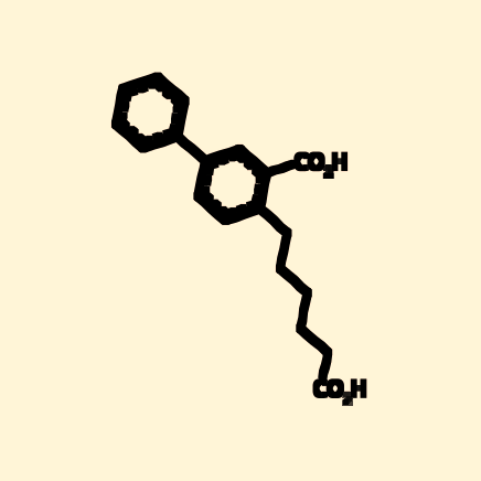 O=C(O)CCCCCc1ccc(-c2ccccc2)cc1C(=O)O